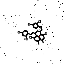 Cc1ccc(C(C=Cc2ccc(Cl)cc2Cl)SC(/C=C\c2ccc(Cl)cc2Cl)c2ccc(C)cc2Cl)c(Cl)c1